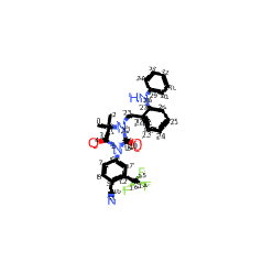 CC1(C)C(=O)N(c2ccc(C#N)c(C(F)(F)F)c2)C(=O)N1Cc1ccccc1Nc1ccccc1